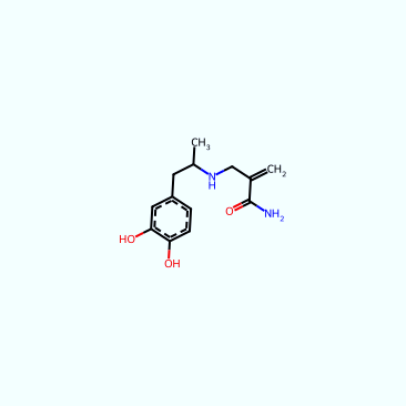 C=C(CNC(C)Cc1ccc(O)c(O)c1)C(N)=O